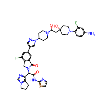 Nc1ccc(N2CCC(O)(CC(=O)N3CCC(n4cc(-c5cc(F)c6c(c5)C(=O)N(C(C(=O)Nc5nccs5)c5ncn7c5CCC7)C6)cn4)CC3)CC2)c(F)c1